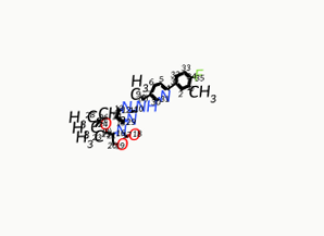 Cc1cc(-c2ccc([C@H](C)Nc3nccc(N4C(=O)OCC4[C@@H](C)OC(C)(C)C)n3)cn2)ccc1F